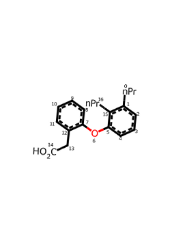 CCCc1cccc(Oc2ccccc2CC(=O)O)c1CCC